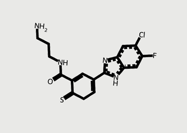 NCCCNC(=O)C1=CC(c2nc3cc(Cl)c(F)cc3[nH]2)=CCC1=S